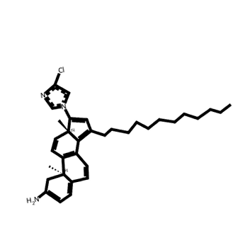 CCCCCCCCCCCCC1=C2C3=C(C=C[C@]2(C)C(n2cnc(Cl)c2)=C1)[C@]1(C)CC(N)=CC=C1C=C3